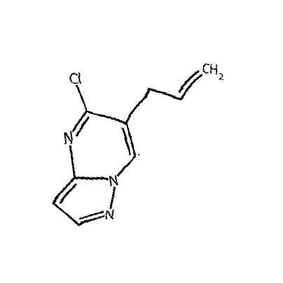 C=CCc1[c]n2nccc2nc1Cl